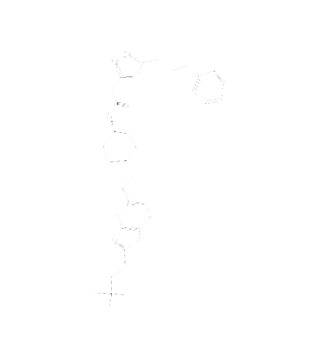 CC(F)(F)COc1nc2c(s1)CCN(CC[C@H]1CC[C@H](NC(=O)Cc3nnc(COCc4ccccc4)s3)CC1)C2